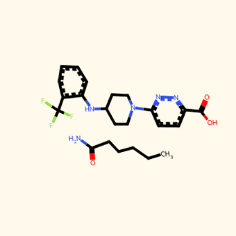 CCCCCC(N)=O.O=C(O)c1ccc(N2CCC(Nc3ccccc3C(F)(F)F)CC2)nn1